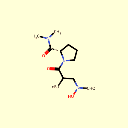 CCCCC(CN(O)C=O)C(=O)N1CCC[C@H]1C(=O)N(C)C